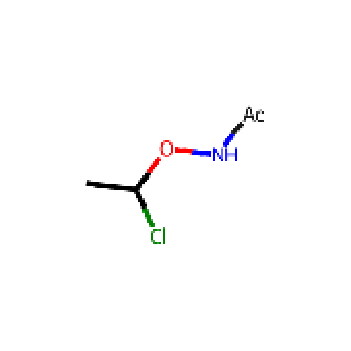 CC(=O)NOC(C)Cl